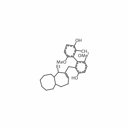 CCC1C(Cc2c(O)ccc(OC)c2-c2c(OC)ccc(O)c2C)=CCCC2CCCCCCC21